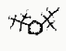 FC(F)(F)C(F)(c1cccc(C(F)(C(F)(F)F)C(F)(F)F)c1)C(F)(F)F